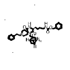 CC1(C)[C@H]2CC[C@H](CN3C(=O)[C@H](CCCCNC(=O)OCc4ccccc4)NC(=O)C34CCN(CCc3ccccc3)CC4)[C@@H]1C2